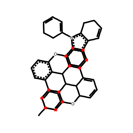 CC1C=C(c2cccc3c2C(C2C4=CCCC=C4OC4C=CC=C(c5ccc6c(c5)c5c(n6C6=CC=CCC6)CCC=C5)C42)c2ccccc2O3)C=CC1